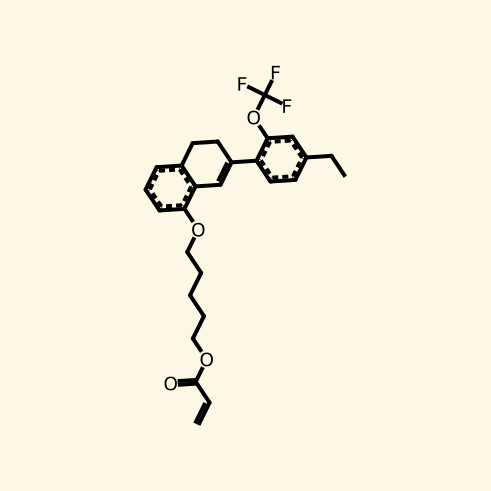 C=CC(=O)OCCCCCOc1cccc2c1C=C(c1ccc(CC)cc1OC(F)(F)F)CC2